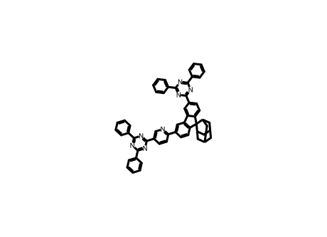 c1ccc(-c2nc(-c3ccccc3)nc(-c3ccc(-c4ccc5c(c4)-c4cc(-c6nc(-c7ccccc7)nc(-c7ccccc7)n6)ccc4C54C5CC6CC(C5)CC4C6)nc3)n2)cc1